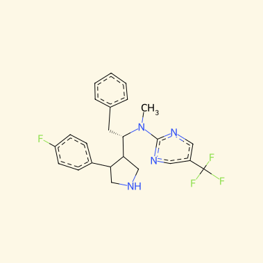 CN(c1ncc(C(F)(F)F)cn1)[C@@H](Cc1ccccc1)C1CNCC1c1ccc(F)cc1